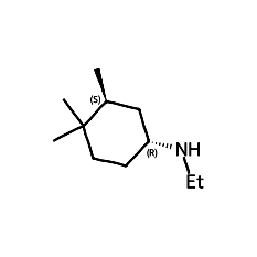 CCN[C@@H]1CCC(C)(C)[C@@H](C)C1